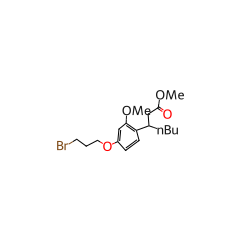 CCCCC(CC(=O)OC)c1ccc(OCCCBr)cc1OC